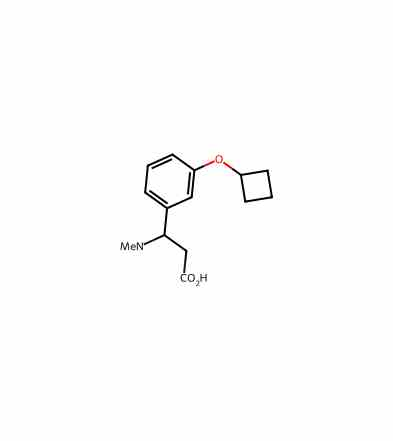 CNC(CC(=O)O)c1cccc(OC2CCC2)c1